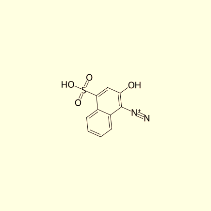 N#[N+]c1c(O)cc(S(=O)(=O)O)c2ccccc12